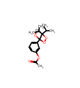 COC1(c2cccc(OC(C)=O)c2)OOC1(C(C)C)C(C)C